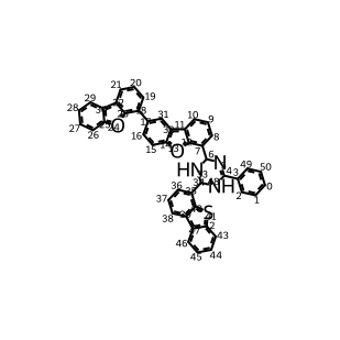 c1ccc(C2=NC(c3cccc4c3oc3ccc(-c5cccc6c5oc5ccccc56)cc34)NC(c3cccc4c3sc3ccccc34)N2)cc1